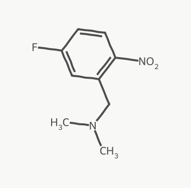 CN(C)Cc1cc(F)ccc1[N+](=O)[O-]